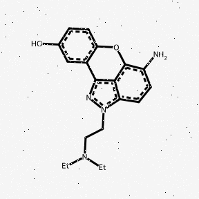 CCN(CC)CCn1nc2c3c(c(N)ccc31)Oc1ccc(O)cc1-2